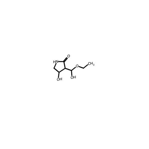 CCOC(O)C1C(=O)NCC1O